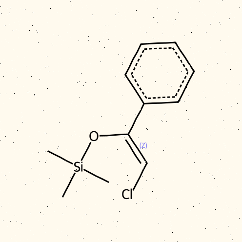 C[Si](C)(C)O/C(=C\Cl)c1ccccc1